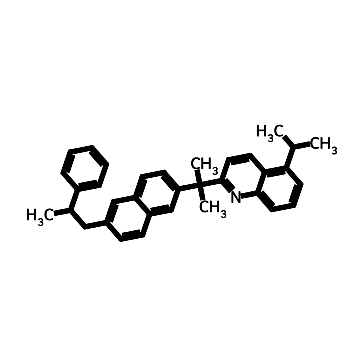 CC(C)c1cccc2nc(C(C)(C)c3ccc4cc(CC(C)c5ccccc5)ccc4c3)ccc12